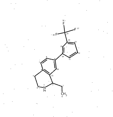 CCC1NCCc2ccc(-c3cccc(C(F)(F)F)c3)cc21